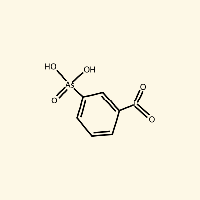 O=I(=O)c1cccc([As](=O)(O)O)c1